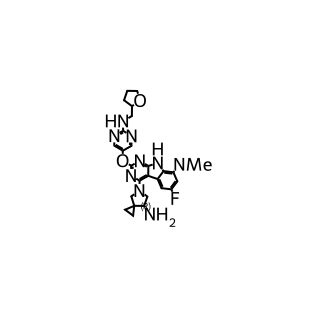 CNc1cc(F)cc2c1[nH]c1nc(Oc3cnc(NCC4CCCO4)nc3)nc(N3C[C@H](N)C4(CC4)C3)c12